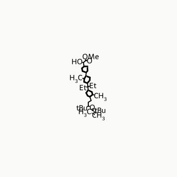 CCC(CC)(c1ccc(CCC(O[Si](C)(C)C(C)(C)C)C(C)(C)C)c(C)c1)c1ccc(-c2ccc(C(O)C(=O)OC)cc2)c(C)c1